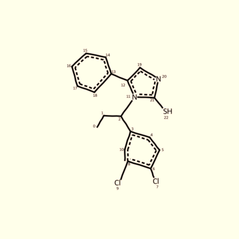 CCC(c1ccc(Cl)c(Cl)c1)n1c(-c2ccccc2)cnc1S